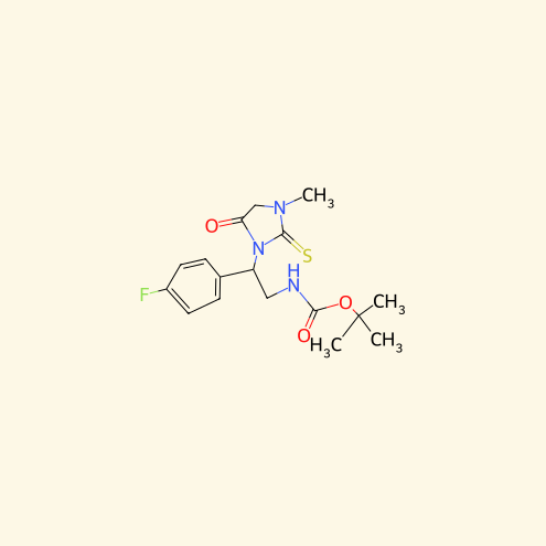 CN1CC(=O)N(C(CNC(=O)OC(C)(C)C)c2ccc(F)cc2)C1=S